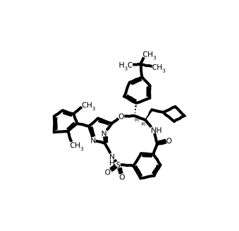 Cc1cccc(C)c1-c1cc2nc(n1)NS(=O)(=O)c1cccc(c1)C(=O)N[C@H](CC1CCC1)[C@@H](c1ccc(C(C)(C)C)cc1)O2